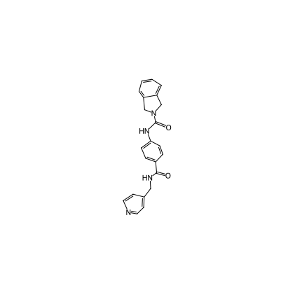 O=C(NCc1ccncc1)c1ccc(NC(=O)N2Cc3ccccc3C2)cc1